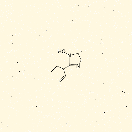 C=CC(CC)C1=NCCN1O